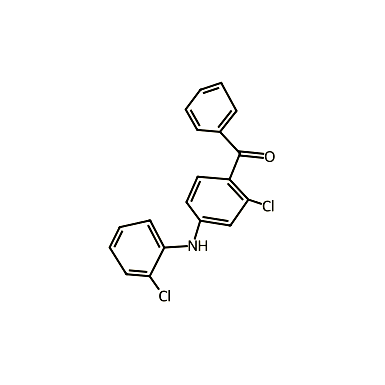 O=C(c1ccccc1)c1ccc(Nc2ccccc2Cl)cc1Cl